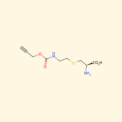 C#CCOC(=O)NCCSC[C@H](N)C(=O)O